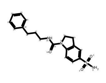 NS(=O)(=O)c1ccc2c(c1)CCN2C(=O)NCCCc1ccccc1